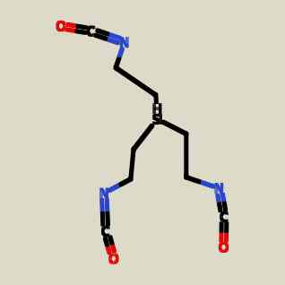 O=C=NCC[SiH](CCN=C=O)CCN=C=O